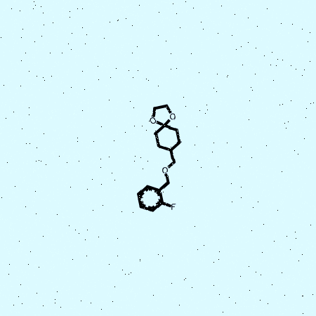 Fc1ccccc1COCC1CCC2(CC1)OCCO2